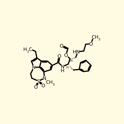 CCc1cn2c3c(cc(C(=O)N[C@@H](Cc4ccccc4)[C@@H](CNCCOC)OC=O)cc13)N(C)S(=O)(=O)CC2